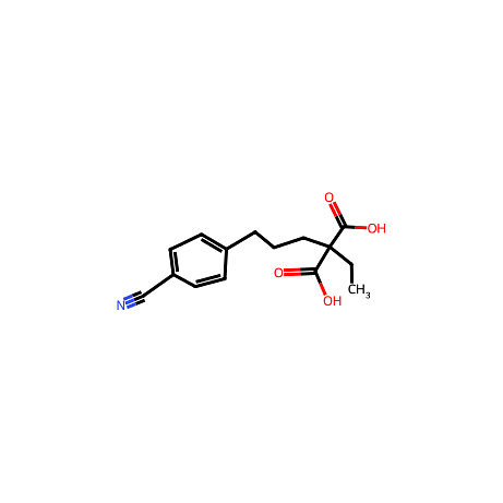 CCC(CCCc1ccc(C#N)cc1)(C(=O)O)C(=O)O